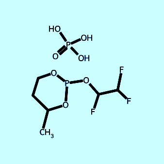 CC1CCOP(OC(F)C(F)F)O1.O=P(O)(O)O